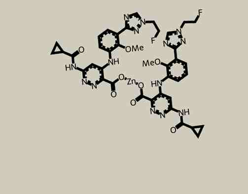 COc1c(Nc2cc(NC(=O)C3CC3)nnc2C(=O)[O][Zn][O]C(=O)c2nnc(NC(=O)C3CC3)cc2Nc2cccc(-c3ncn(CCF)n3)c2OC)cccc1-c1ncn(CCF)n1